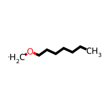 [CH2]OCCCCCCC